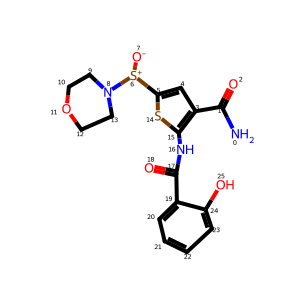 NC(=O)c1cc([S+]([O-])N2CCOCC2)sc1NC(=O)c1ccccc1O